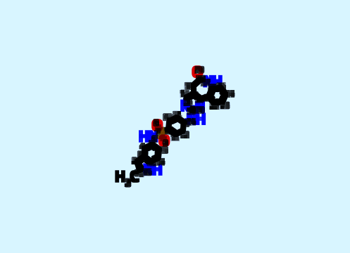 Cc1cc2cc(NS(=O)(=O)C3=CCC(Nc4ncc5c(n4)-c4ccccc4NC(=O)C5)C=C3)ccc2[nH]1